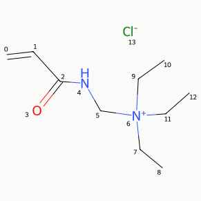 C=CC(=O)NC[N+](CC)(CC)CC.[Cl-]